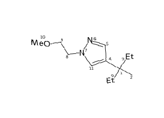 CCC(C)(CC)c1cnn(CCOC)c1